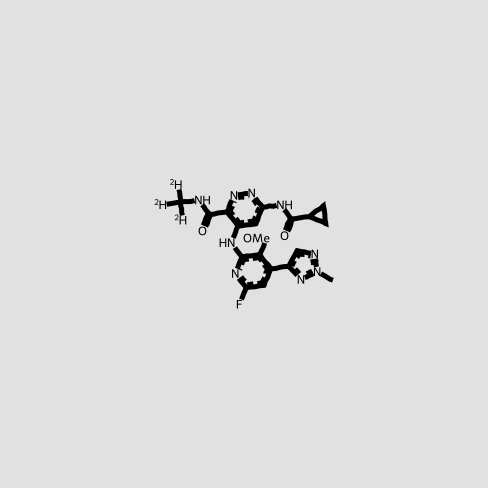 [2H]C([2H])([2H])NC(=O)c1nnc(NC(=O)C2CC2)cc1Nc1nc(F)cc(-c2cnn(C)n2)c1OC